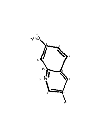 COc1ccc2cc(C)cnc2c1